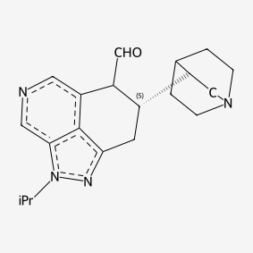 CC(C)n1nc2c3c(cncc31)C(C=O)[C@H](C1CN3CCC1CC3)C2